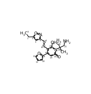 CCc1cc(N=Nc2c(-c3ccco3)cc(=O)n(C(C)(C)CN)c2O)no1